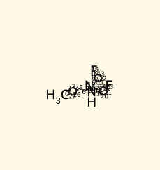 Cc1ccc(CCC2=NC(c3cccc(F)c3)C(c3cccc(F)c3)N2)cc1